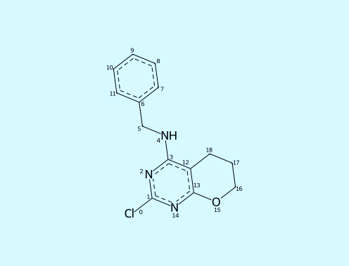 Clc1nc(NCc2ccccc2)c2c(n1)OCCC2